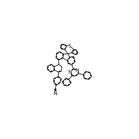 N#Cc1ccc(C2=CCC(c3cccc4c3-c3cc(-c5nc(-c6ccccc6)cc(-c6ccccc6)n5)ccc3C43c4ccccc4Sc4ccccc43)c3ccccc32)cc1